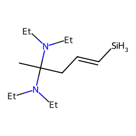 CCN(CC)C(C)(CC=C[SiH3])N(CC)CC